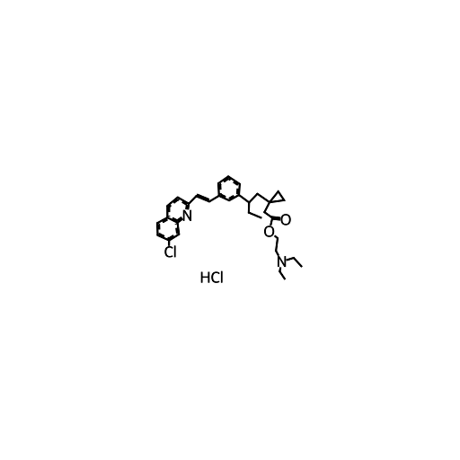 CCC(CC1(CC(=O)OCCN(CC)CC)CC1)c1cccc(C=Cc2ccc3ccc(Cl)cc3n2)c1.Cl